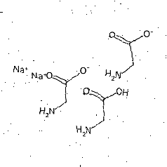 NCC(=O)O.NCC(=O)[O-].NCC(=O)[O-].[Na+].[Na+]